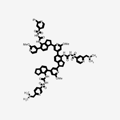 COc1cc(-c2ccc3c(c2NC(=O)NS(=O)(=O)c2ccnc(C(C)C)c2)CCC3c2cc(-c3ccc4c(c3NC(=O)NS(=O)(=O)c3ccnc(CN(C)C)c3)CCC4c3cc(-c4ccc5c(c4NC(=O)NS(=O)(=O)c4ccc(CN(C)C)nc4)CCC5)cc(OC)n3)cc(OC)n2)ccn1